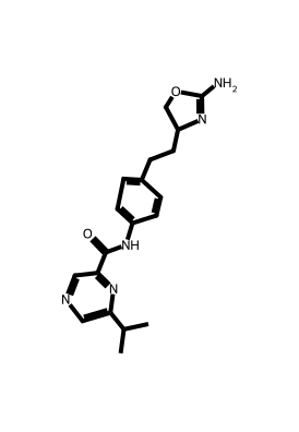 CC(C)c1cncc(C(=O)Nc2ccc(CCC3COC(N)=N3)cc2)n1